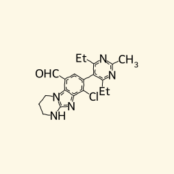 CCc1nc(C)nc(CC)c1-c1cc(C=O)c2c(nc3n2CCCN3)c1Cl